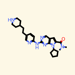 CN(C)C(=O)c1cc2cnc(Nc3ccc(CCC4CCNCC4)cn3)nc2n1C1CCCC1